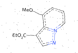 CCOC(=O)c1cnn2cccc(OC)c12